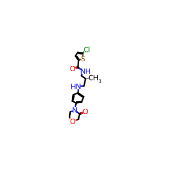 C[C@@H](CNC(=O)c1ccc(Cl)s1)CNc1ccc(N2CCOCC2=O)cc1